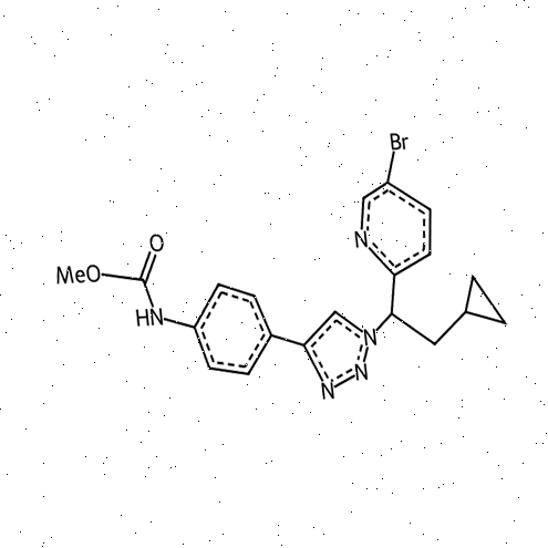 COC(=O)Nc1ccc(-c2cn(C(CC3CC3)c3ccc(Br)cn3)nn2)cc1